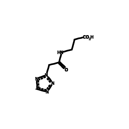 O=C(O)CCNC(=O)Cn1n[c]nn1